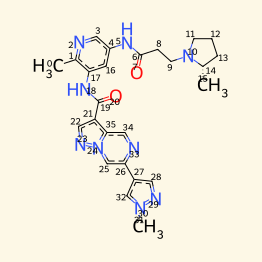 Cc1ncc(NC(=O)CCN2CCC[C@@H]2C)cc1NC(=O)c1cnn2cc(-c3cnn(C)c3)ncc12